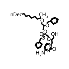 CCCCCCCCCCCCCCCCC(C)OCC(COP(=O)(COC(CO)Cn1ccc(N)nc1=O)OCc1ccccc1)OCc1ccccc1